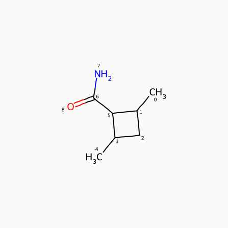 CC1CC(C)C1C(N)=O